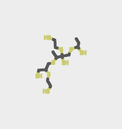 CCC(S)SCC(S)(SCCS)C(C)SCC(CS)SCCS